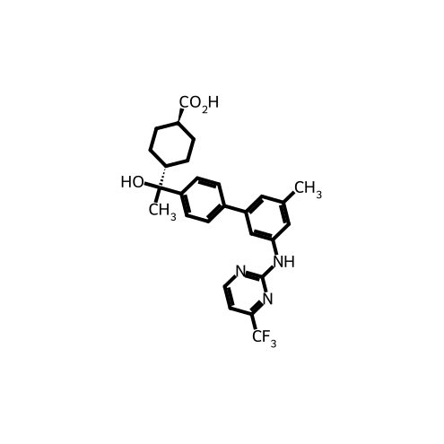 Cc1cc(Nc2nccc(C(F)(F)F)n2)cc(-c2ccc(C(C)(O)[C@H]3CC[C@H](C(=O)O)CC3)cc2)c1